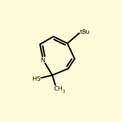 CC1(S)C=CC(C(C)(C)C)=CC=N1